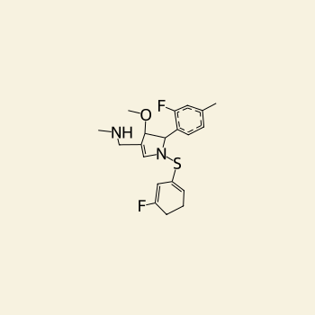 CNCC1=CN(SC2=CCCC(F)=C2)C(c2ccc(C)cc2F)C1OC